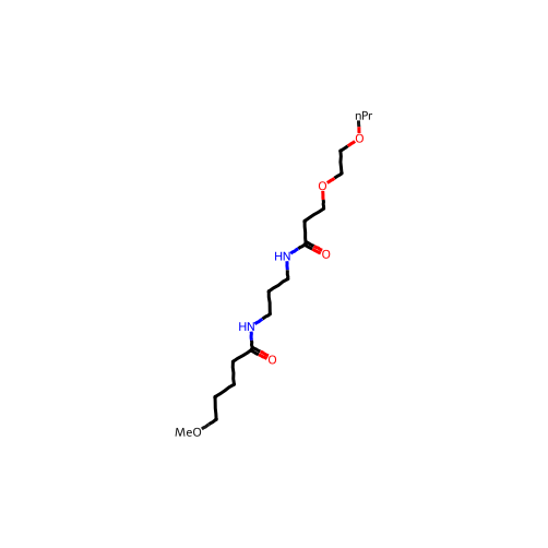 CCCOCCOCCC(=O)NCCCNC(=O)CCCCOC